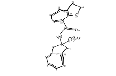 O=C(NC1(C(=O)O)Cc2ccccc2C1)c1cccc2c1OCC2